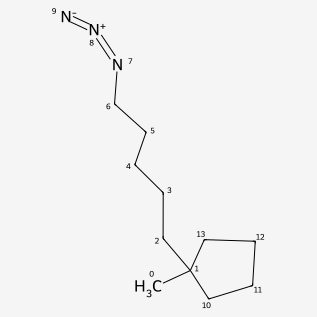 CC1(CCCCCN=[N+]=[N-])CCCC1